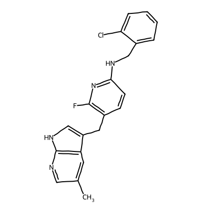 Cc1cnc2[nH]cc(Cc3ccc(NCc4ccccc4Cl)nc3F)c2c1